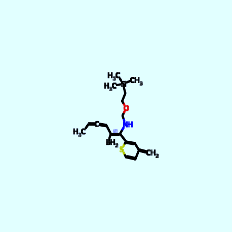 B/C(C=C=CC)=C(/NCOCC[Si](C)(C)C)C1=CC(=C)C=CS1